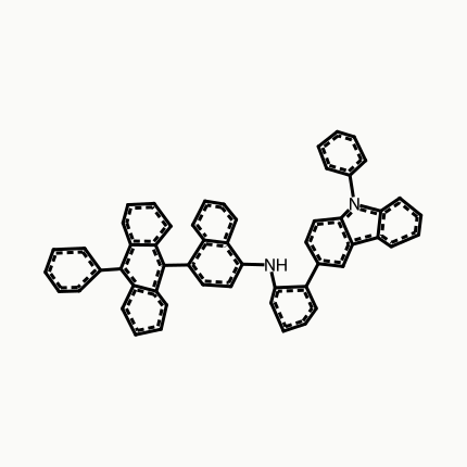 c1ccc(-c2c3ccccc3c(-c3ccc(Nc4ccccc4-c4ccc5c(c4)c4ccccc4n5-c4ccccc4)c4ccccc34)c3ccccc23)cc1